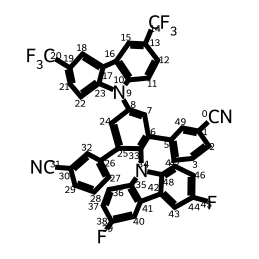 N#Cc1cccc(-c2cc(-n3c4ccc(C(F)(F)F)cc4c4cc(C(F)(F)F)ccc43)cc(-c3cccc(C#N)c3)c2-n2c3ccc(F)cc3c3cc(F)ccc32)c1